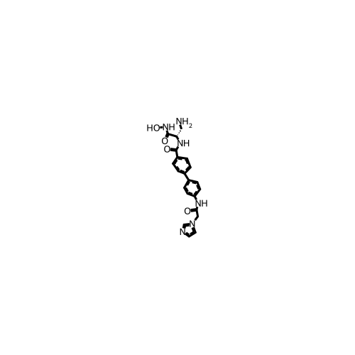 NC[C@H](NC(=O)c1ccc(-c2ccc(NC(=O)Cn3ccnc3)cc2)cc1)C(=O)NO